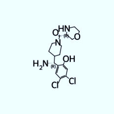 N[C@@H](c1cc(Cl)c(Cl)cc1O)C1CCN(C(=O)[C@H]2COCCN2)CC1